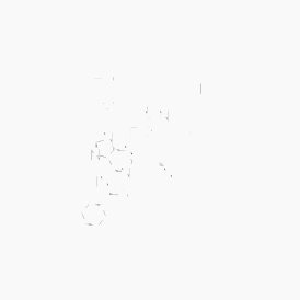 CCCN(CCC)P(OCCC#N)OC1[C@@H](F)[C@H](n2cnc3c(NC(=O)c4ccccc4)ncnc32)CO[C@@H]1CC